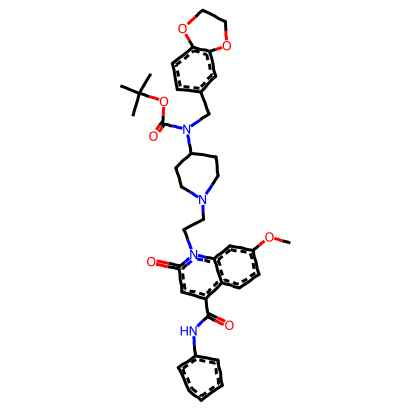 COc1ccc2c(C(=O)Nc3ccccc3)cc(=O)n(CCN3CCC(N(Cc4ccc5c(c4)OCCO5)C(=O)OC(C)(C)C)CC3)c2c1